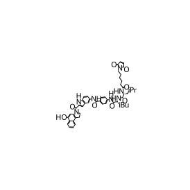 CCC(C)[C@H](NC(=O)[C@H](CC(C)C)NC(=O)CCCCCN1C(=O)C=CC1=O)C(=O)Nc1ccc(C(=O)Nc2ccc3[nH]c(C(=O)N4CCc5c4cc(O)c4ccccc54)cc3c2)cc1